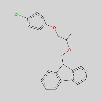 CC(COc1ccc(Cl)cc1)OCC1c2ccccc2-c2ccccc21